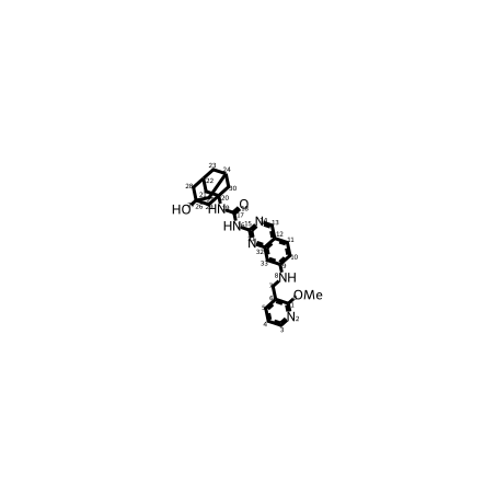 COc1ncccc1CNc1ccc2cnc(NC(=O)NC34CC5CC(CC(O)(C5)C3)C4)nc2c1